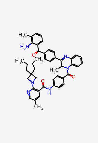 CCCC1(CCC)CN(c2ncc(C)cc2C(=O)Nc2ccc(C(=O)N3c4ccccc4N=C(c4ccc(C(=O)c5cccc(C)c5N)cc4)C3C)cc2)C1